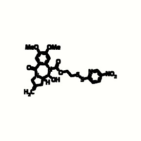 C=C1C[C@H]2[C@H](O)N(C(=O)OCCSSc3ccc([N+](=O)[O-])cn3)c3cc(OC)c(OC)cc3C(=O)N2C1